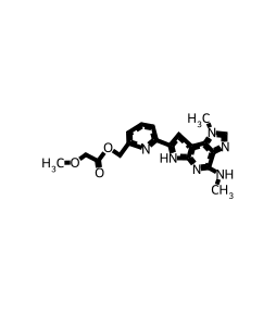 CNc1nc2[nH]c(-c3cccc(COC(=O)COC)n3)cc2c2c1ncn2C